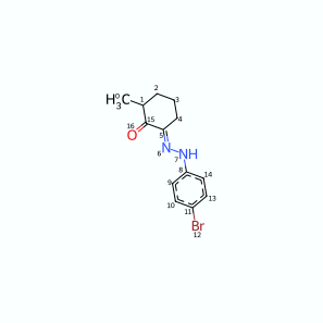 CC1CCC/C(=N\Nc2ccc(Br)cc2)C1=O